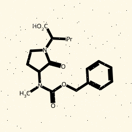 CC(C)C(C(=O)O)N1CCC(N(C)C(=O)OCc2ccccc2)C1=O